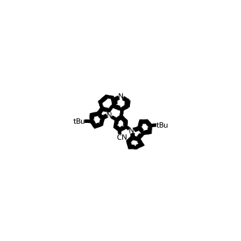 CC(C)(C)c1ccc2c(c1)c1c(n2-c2cc(C#N)c(-n3c4ccccc4c4cc(C(C)(C)C)ccc43)cc2-c2c#cncc2)CCC=C1